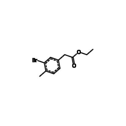 CCOC(=O)Cc1ccc(C)c(Br)c1